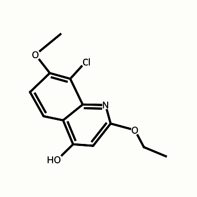 CCOc1cc(O)c2ccc(OC)c(Cl)c2n1